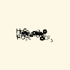 CC(OC(=O)N[C@@H](Cc1cccc(S(=O)(=O)N2CC(Oc3ccccc3C(F)(F)F)(c3ccccc3)C2)c1)C(=O)O)OC(=O)C(C)C